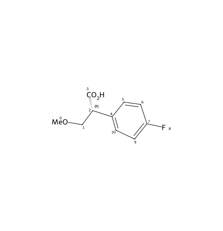 COC[C@H](C(=O)O)c1ccc(F)cc1